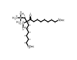 CCCCCCCCCCCCCCCCCC(=O)C(CCCCCCCCCCCCCCCC)(C[N+](C)(C)C)O[PH-]